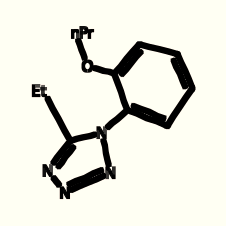 CCCOc1ccccc1-n1nnnc1CC